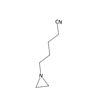 N#CCCCCN1CC1